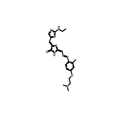 CCNc1ncc(C=c2sc(=CN=Nc3ccc(OCCN(C)C)cc3C)[nH]c2=O)s1